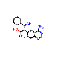 C/C(O)=C(/C(=N)c1ccccc1)c1ccc2ncnc(N)c2c1